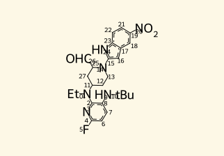 CCN(c1nc(F)ccc1NC(C)(C)C)C1CCN(c2cc3cc([N+](=O)[O-])ccc3[nH]2)C(C=O)C1